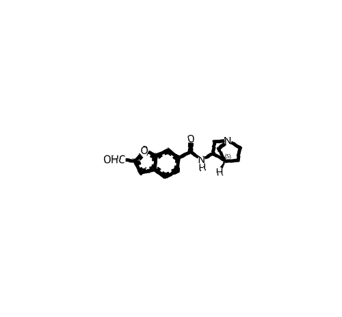 O=Cc1cc2ccc(C(=O)NC3CN4CC[C@H]3C4)cc2o1